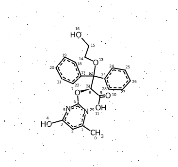 Cc1cc(O)nc(O[C@H](C(=O)O)C(OCCO)(c2ccccc2)c2ccccc2)n1